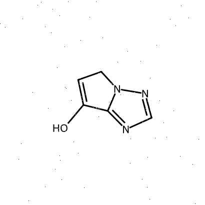 OC1=CCn2ncnc21